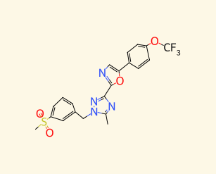 Cc1nc(-c2ncc(-c3ccc(OC(F)(F)F)cc3)o2)nn1Cc1cccc(S(C)(=O)=O)c1